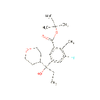 CCC(O)(c1cc(F)c(C)c(C(=O)OC(C)(C)C)c1)C1CCOCC1